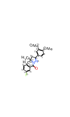 COc1ccc(C2=NN(C(=O)c3cccc(F)c3)C(C)(C)C2)cc1OC